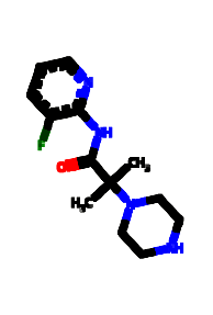 CC(C)(C(=O)Nc1ncccc1F)N1CCNCC1